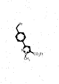 CCOC(=O)c1cc(-c2ccc(CC(C)C)cc2)nn1C